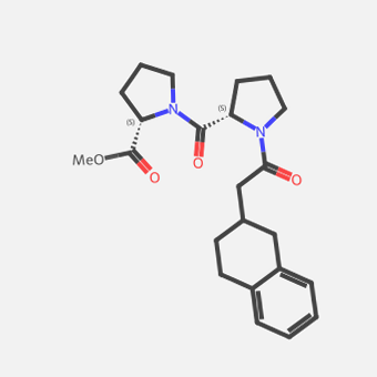 COC(=O)[C@@H]1CCCN1C(=O)[C@@H]1CCCN1C(=O)CC1CCc2ccccc2C1